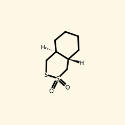 O=S1(=O)C[C@H]2CCCC[C@@H]2CS1